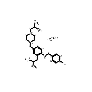 CC(C)Cc1cc(CN2CCN(CC(C)C)CC2)ccc1OCc1ccc(F)cc1.Cl.Cl